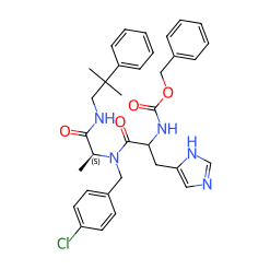 C[C@@H](C(=O)NCC(C)(C)c1ccccc1)N(Cc1ccc(Cl)cc1)C(=O)C(Cc1cnc[nH]1)NC(=O)OCc1ccccc1